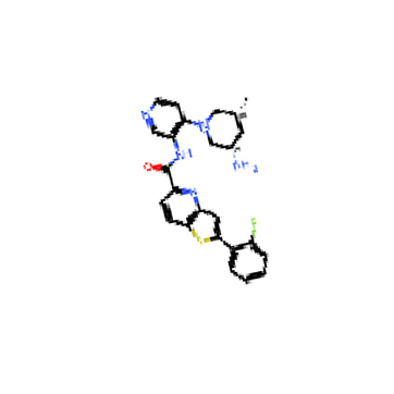 C[C@@H]1C[C@H](N)CN(c2ccncc2NC(=O)c2ccc3sc(-c4ccccc4F)cc3n2)C1